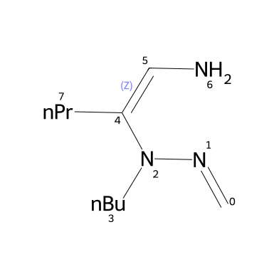 C=NN(CCCC)/C(=C\N)CCC